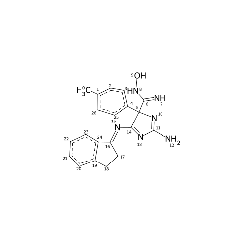 Cc1ccc(C2(C(=N)NO)N=C(N)N=C2N=C2CCc3ccccc32)cc1